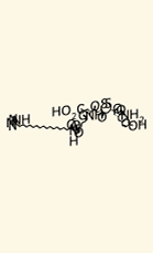 NC(=O)[C@@H](CC(=O)[C@@H]1CSSC[C@H](CC(=O)[C@H](CCC(=O)O)NC(=O)CCCS(=O)(=O)NC(=O)CCCCCCCCCCCCCCCc2nnn[nH]2)C(=O)C1)Cc1ccc(O)cc1